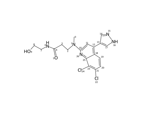 CN(CCC(=O)NCCO)c1cc(-c2cn[nH]c2)c2ccc(Cl)c(Cl)c2n1